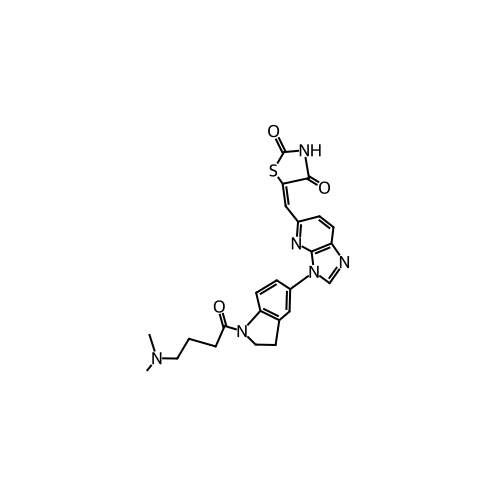 CN(C)CCCC(=O)N1CCc2cc(-n3cnc4ccc(C=C5SC(=O)NC5=O)nc43)ccc21